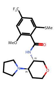 COc1cc(C(F)(F)F)cc(SC)c1C(=O)N[C@@H]1COCC[C@H]1N1CCCC1